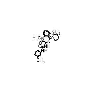 Cc1cccc(NC(=O)NC2N=C(N3CCCCC3(C)C)c3ccccc3N(C)C2=O)c1